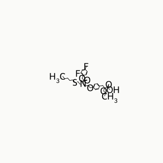 CCCCCSCCN(CCOc1ccc(CC(OCC)C(=O)O)cc1)C(=O)Oc1ccc(F)cc1F